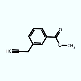 C#CCc1cccc(C(=O)OC)c1